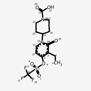 CCc1c(OS(=O)(=O)C(F)(F)F)ccn(C2CCN(C(=O)O)CC2)c1=O